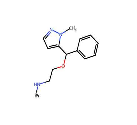 CC(C)NCCOC(c1ccccc1)c1ccnn1C